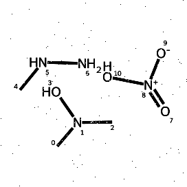 CN(C)O.CNN.O=[N+]([O-])O